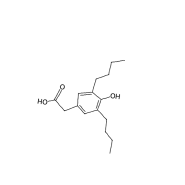 CCCCc1cc(CC(=O)O)cc(CCCC)c1O